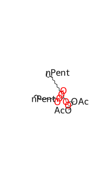 CCCCC/C=C\C/C=C\CCCCCCCC(=O)OCC(COC(=O)CCCCCCC/C=C\C/C=C\CCCCC)COC1CC(OC(C)=O)C[C@@H](COC(C)=O)O1